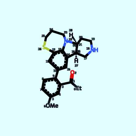 CCC(=O)c1cc(OC)ccc1-c1cc2c3c(c1)[C@@H]1CNCC[C@@H]1N3CCCS2